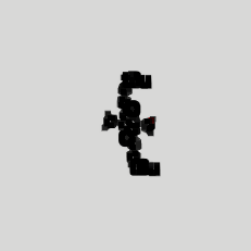 Cc1cc(C)cc(-c2cc3c4oc5cc(-c6ccc(C(C)(C)C)cc6)ccc5c4cc4c(-c5cc(C)cc(C)c5)cc5c6oc7cc(-c8ccc(C(C)(C)C)cc8)ccc7c6cc2c5c43)c1